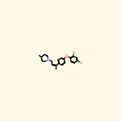 CC(=CCN1CCC(C)CC1)c1ccc(Oc2ccc(Cl)cc2Cl)cc1